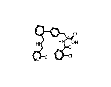 O=C(N[C@@H](Cc1ccc(-c2ccccc2CNCc2ccccc2Cl)cc1)C(=O)O)c1ccccc1Cl